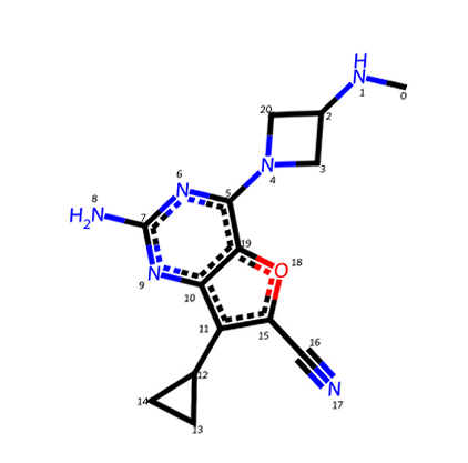 CNC1CN(c2nc(N)nc3c(C4CC4)c(C#N)oc23)C1